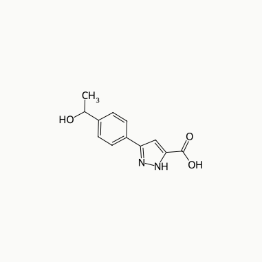 CC(O)c1ccc(-c2cc(C(=O)O)[nH]n2)cc1